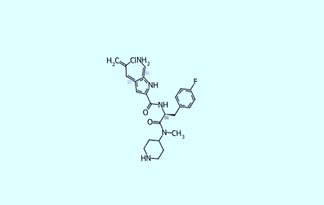 C=C(Cl)/C=c1/cc(C(=O)N[C@@H](Cc2ccc(F)cc2)C(=O)N(C)C2CCNCC2)[nH]/c1=C/N